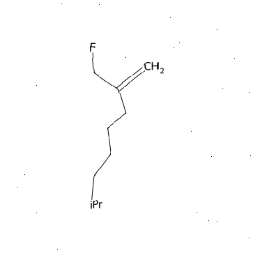 C=C(CF)CCCCC(C)C